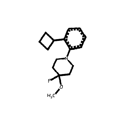 COC1(F)CCN(c2cc[c]cc2C2CCC2)CC1